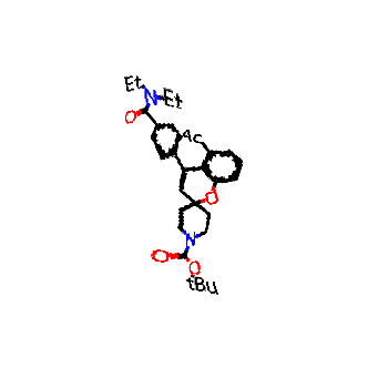 CCN(CC)C(=O)c1ccc(C2=CC3(CCN(C(=O)OC(C)(C)C)CC3)Oc3cccc(C(C)=O)c32)cc1